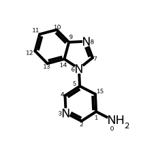 Nc1cncc(-n2cnc3ccccc32)c1